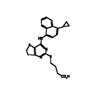 O=C(O)CCCSc1nc2c(c(Nc3ccc(C4CC4)c4ccccc34)n1)SCC2